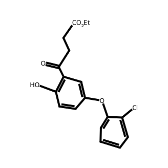 CCOC(=O)CCC(=O)c1cc(Oc2ccccc2Cl)ccc1O